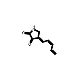 C=C/C=C\C=C1/CNC(=O)C1=O